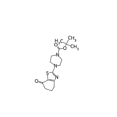 CC(C)(C)OC(=O)N1CCN(c2nc3c(s2)C(=O)CCC3)CC1